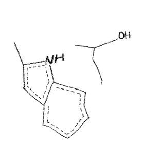 CC(C)O.Cc1cc2ccccc2[nH]1